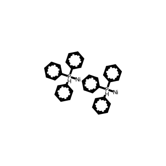 [Ni][PH](c1ccccc1)(c1ccccc1)c1ccccc1.[Ni][PH](c1ccccc1)(c1ccccc1)c1ccccc1